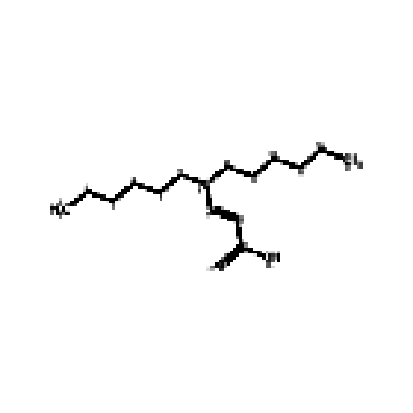 CCCCCCN(C=CC(=O)O)CCCCCC